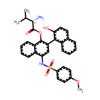 COc1ccc(S(=O)(=O)Nc2cc(-c3c(O)ccc4ccccc34)c(OC(=O)[C@@H](N)C(C)C)c3ccccc23)cc1